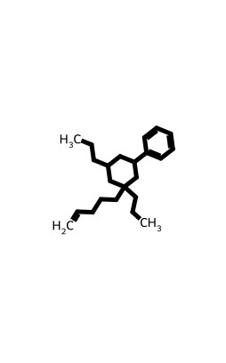 C=CCCCC1(CCC)CC(CCC)CC(c2ccccc2)C1